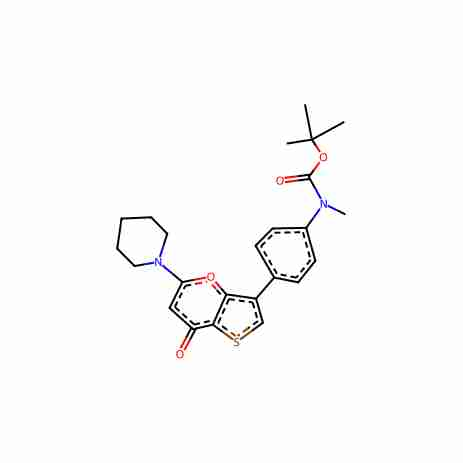 CN(C(=O)OC(C)(C)C)c1ccc(-c2csc3c(=O)cc(N4CCCCC4)oc23)cc1